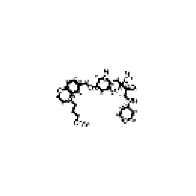 COCCCN1CCOc2ccc(CO[C@@H]3CC[C@@H](CC(C)(C)C(=O)CNC4CCOCC4)NC3)cc21